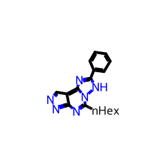 CCCCCCc1nc2nncc-2c2nc(-c3ccccc3)[nH]n12